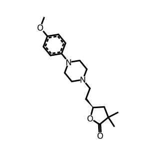 COc1ccc(N2CCN(CC[C@H]3CC(C)(C)C(=O)O3)CC2)cc1